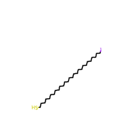 SCCCCCCCCCCCCCCCCCCCCCCCCCCCI